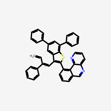 C=C/C(=C\c1c(-c2cccc3cnc4cccnc4c23)sc2c(-c3ccccc3)cc(-c3ccccc3)cc12)c1ccccc1